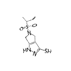 CC(C)S(=O)(=O)N1Cc2[nH]nc(S)c2C1